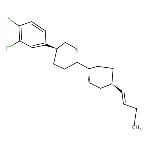 CCC=C[C@H]1CC[C@H]([C@H]2CC[C@H](c3ccc(F)c(F)c3)CC2)CC1